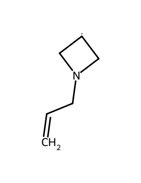 C=CCN1C[CH]C1